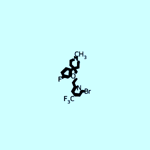 CN1CCC(COCCc2cc(C(F)(F)F)cc(Br)n2)(c2ccc(F)cc2)CC1